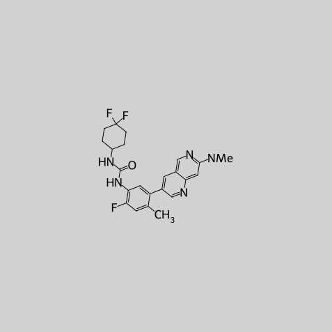 CNc1cc2ncc(-c3cc(NC(=O)NC4CCC(F)(F)CC4)c(F)cc3C)cc2cn1